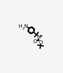 CN(C(=O)OC(C)(C)C)C(C)(C)c1ccc(N)cc1